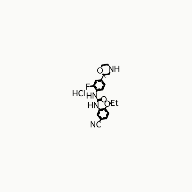 CCOc1ccc(C#N)cc1NC(=O)Nc1ccc([C@@H]2CNCCO2)cc1F.Cl